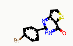 O=c1[nH]c(-c2ccc(Br)cc2)nc2ccsc12